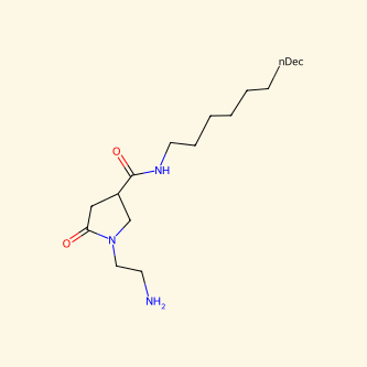 CCCCCCCCCCCCCCCCNC(=O)C1CC(=O)N(CCN)C1